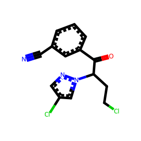 N#Cc1cccc(C(=O)C(CCCl)n2cc(Cl)cn2)c1